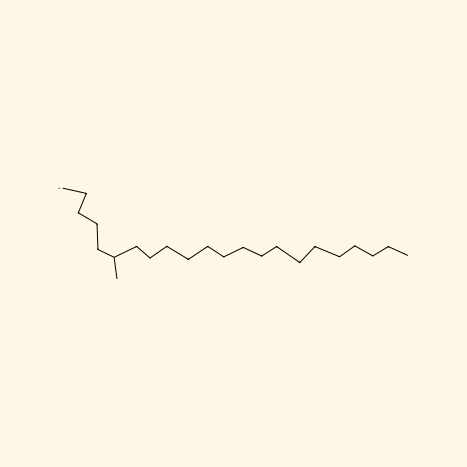 [CH2]CCCCC(C)CCCCCCCCCCCCCCCC